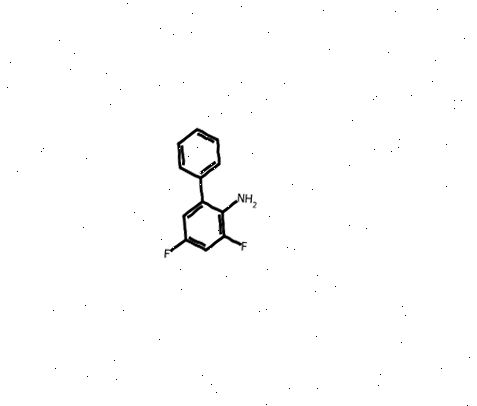 Nc1c(F)cc(F)cc1-c1ccccc1